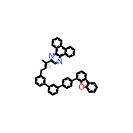 C/C(=C\Cc1cccc(-c2cccc(-c3ccc(-c4cccc5c4oc4ccccc45)cc3)c2)c1)c1cnc2c3ccccc3c3ccccc3c2n1